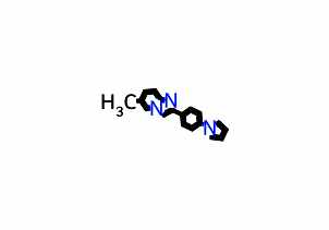 Cc1ccc2nc(-c3ccc(-n4cccc4)cc3)cn2c1